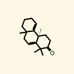 CC12CC=C3C(C)(C)C(=O)CC[C@]3(C)C1=CCCC2